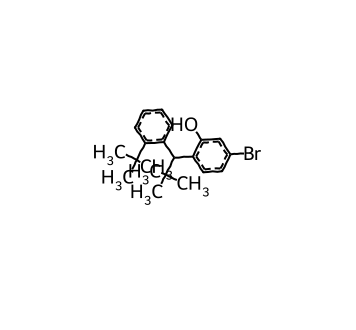 CC(C)(C)c1ccccc1C(c1ccc(Br)cc1O)C(C)(C)C